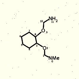 CNCOC1CCCCC1OCN